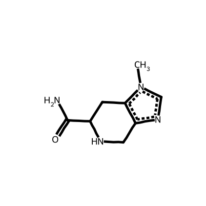 Cn1cnc2c1CC(C(N)=O)NC2